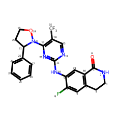 O=C1NCCc2cc(F)c(Nc3ncc(C(F)(F)F)c(N4OCCC4c4ccccc4)n3)cc21